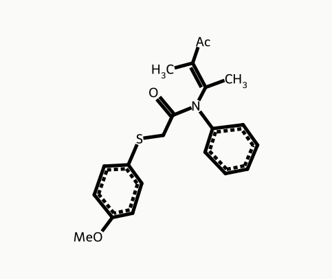 COc1ccc(SCC(=O)N(C(C)=C(C)C(C)=O)c2ccccc2)cc1